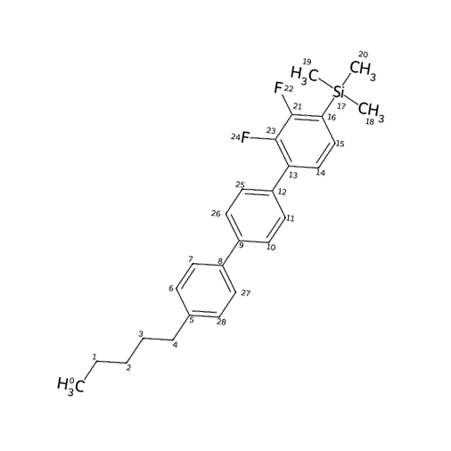 CCCCCc1ccc(-c2ccc(-c3ccc([Si](C)(C)C)c(F)c3F)cc2)cc1